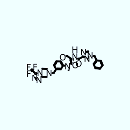 CN1C(=O)[C@@H](NC(=O)c2ncn(Cc3ccccc3)n2)COc2ccc(CN3CCn4c(nnc4C(F)(F)F)C3)cc21